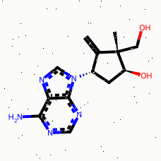 C=C1[C@@H](n2cnc3c(N)ncnc32)C[C@H](O)[C@@]1(C)CO